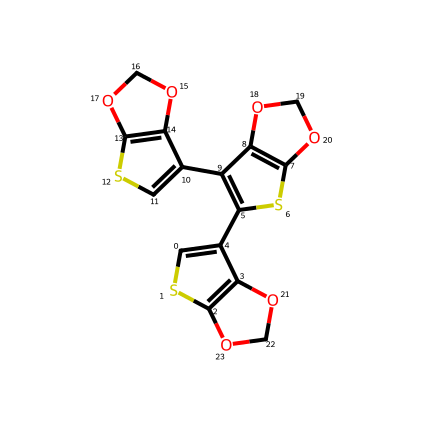 c1sc2c(c1-c1sc3c(c1-c1csc4c1OCO4)OCO3)OCO2